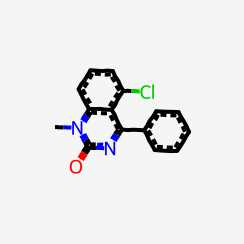 Cn1c(=O)nc(-c2ccccc2)c2c(Cl)cccc21